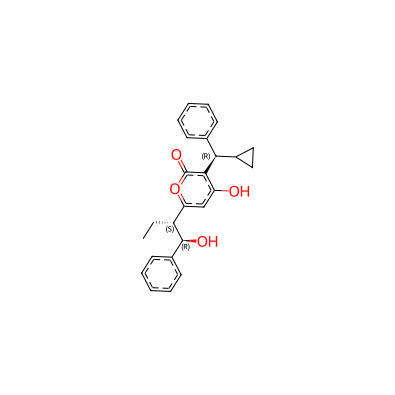 CC[C@H](c1cc(O)c([C@@H](c2ccccc2)C2CC2)c(=O)o1)[C@@H](O)c1ccccc1